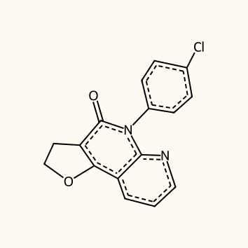 O=c1c2c(c3cccnc3n1-c1ccc(Cl)cc1)OCC2